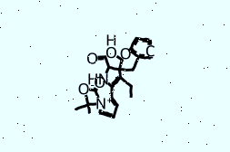 CCC1=C(C2=CC=C[N+]2(C(=O)[O-])C(C)(C)C)NC(C=O)C1(Cc1ccccc1)C(=O)O